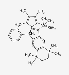 CC1=C(C)C(C)[C]([Zr]([CH3])([CH3])(=[SiH2])[C]2=CC(c3ccccc3)c3cc4c(cc32)C(C)(C)CCC4(C)C)=C1C